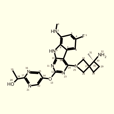 CNc1cc(F)cc2c1[nH]c1nc(Oc3cnc(C(C)O)nc3)nc(N3CC4(CC[C@]4(C)N)C3)c12